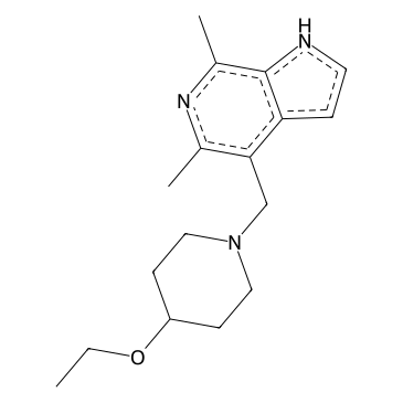 CCOC1CCN(Cc2c(C)nc(C)c3[nH]ccc23)CC1